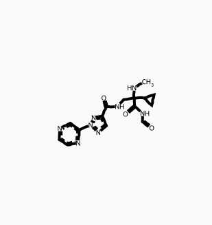 CNC(CNC(=O)c1cnn(-c2cnccn2)n1)(C(=O)NC=O)C1CC1